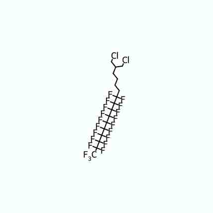 FC(F)(F)C(F)(F)C(F)(F)C(F)(F)C(F)(F)C(F)(F)C(F)(F)C(F)(F)C(F)(F)C(F)(F)CCCCC(CCl)CCl